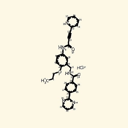 CCCOc1ccc(NC(=O)C#Cc2ccccn2)cc1CNC(=O)c1ccc(-c2ncccn2)cc1.Cl